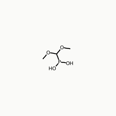 COC(OC)P(O)O